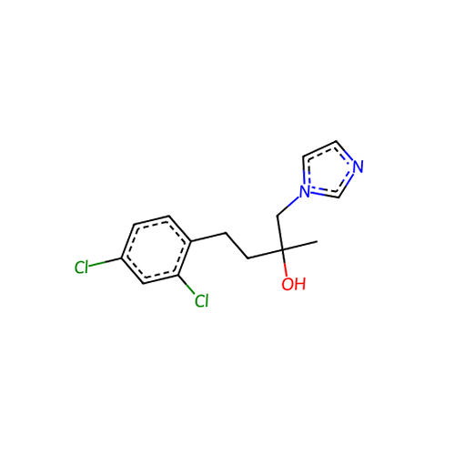 CC(O)(CCc1ccc(Cl)cc1Cl)Cn1ccnc1